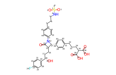 CS(=O)(=O)NCCCc1ccc(N2C(=O)C(CC[C@H](O)c3ccc(F)cc3)[C@H]2c2ccc(CCCC(C(=O)O)C(=O)O)cc2)cc1